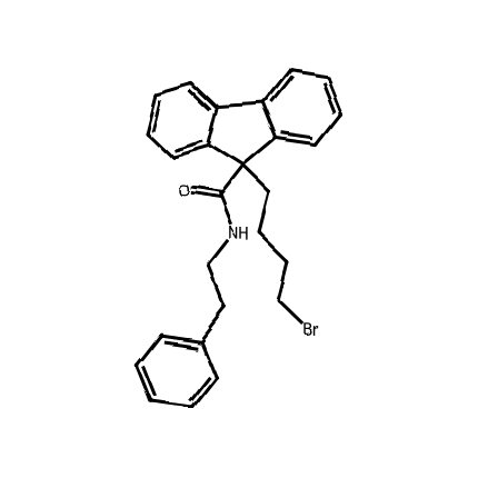 O=C(NCCc1ccccc1)C1(CCCCBr)c2ccccc2-c2ccccc21